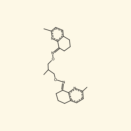 Cc1ccc2c(n1)/C(=N/OCC(C)CO/N=C1\CCCc3ccc(C)nc31)CCC2